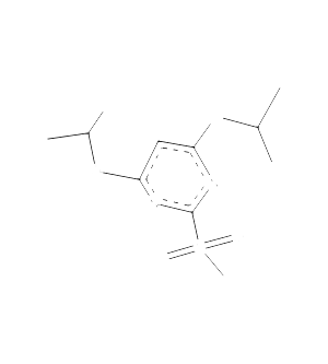 CC(C)Oc1cc(OC(C)C)nc(S(C)(=O)=O)n1